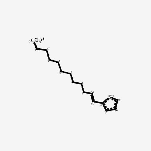 O=C(O)CCCCCCCCCC=Cc1cccs1